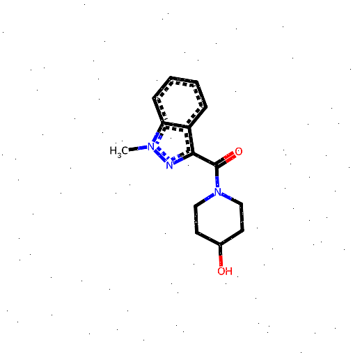 Cn1nc(C(=O)N2CCC(O)CC2)c2ccccc21